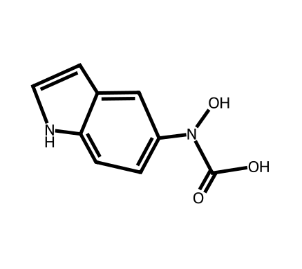 O=C(O)N(O)c1ccc2[nH]ccc2c1